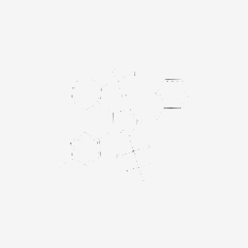 Cc1ccc(-c2c(-c3ccccc3S(N)(=O)=O)nn(Cc3ccccc3)c2C(F)(F)C(F)(F)F)cc1